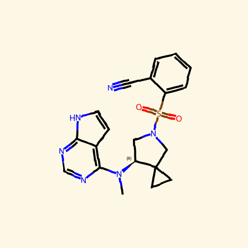 CN(c1ncnc2[nH]ccc12)[C@H]1CN(S(=O)(=O)c2ccccc2C#N)CC12CC2